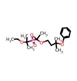 CCOC(C)(C)P1(=O)OC1(C)OCCC(C)(C)Oc1ccccc1